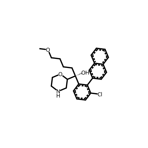 COCCCC[C@@](O)(c1cccc(Cl)c1-c1ccc2ccccc2c1)C1CNCCO1